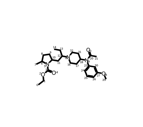 CCOC(=O)N1C(C)CCC1CC(CC)N1CCC(N(C(C)=O)c2cccc(OC)c2)CC1